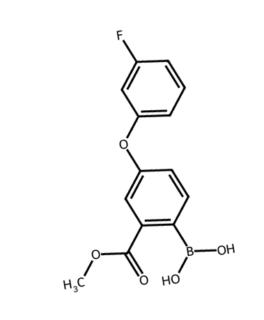 COC(=O)c1cc(Oc2cccc(F)c2)ccc1B(O)O